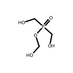 O=P(CO)(CO)OCO